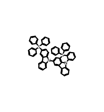 c1ccc(S(c2ccccc2)(c2ccccc2)c2ccc3c(c2)c2ccccc2n3-c2cc3c4c(c2)c2ccccc2n4-c2ccccc2S3(c2ccccc2)c2ccccc2)cc1